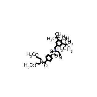 COCCN(CCOC)C(=O)c1ccc(S(=O)(=O)/C(=C/c2cc(C(C)(C)C)c(O)c(C(C)(C)C)c2)CC#N)cc1